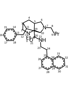 CCN1CC2CC3CN(CC(C)C)C(C2Cc2ccccc2)C31C(=O)NCCc1cccc2ccccc12